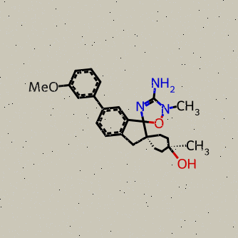 COc1cccc(-c2ccc3c(c2)C2(N=C(N)N(C)O2)[C@]2(CC[C@](C)(O)CC2)C3)c1